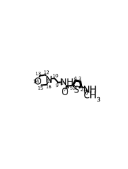 CNc1ccc(C(=O)NCCN2CCOCC2)s1